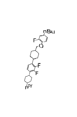 CCCCc1ccc(OCC2CCC(c3ccc(C4CCC(CCC)CC4)c(F)c3F)CC2)c(F)c1